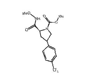 CONC(=O)[C@@H]1CC(c2ccc(C(F)(F)F)cc2)CN1C(=O)OC(C)(C)C